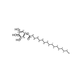 CCCCCCCCCCCCCCCCC(=O)Oc1cc(O)c(O)c(O)c1